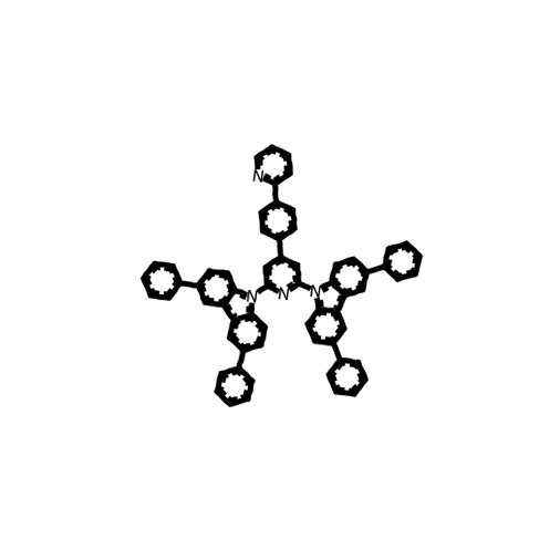 c1ccc(-c2ccc3c(c2)c2cc(-c4ccccc4)ccc2n3-c2cc(-c3ccc(-c4ccccn4)cc3)cc(-n3c4ccc(-c5ccccc5)cc4c4cc(-c5ccccc5)ccc43)n2)cc1